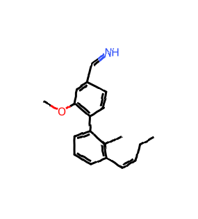 CC/C=C\c1cccc(-c2ccc(C=N)cc2OC)c1C